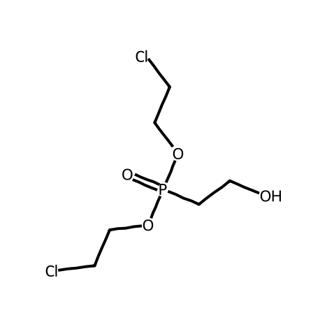 O=P(CCO)(OCCCl)OCCCl